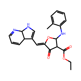 CCOC(=O)C1C(=O)/C(=C/C2=CNC3N=CC=CC23)OC1Nc1ccccc1C